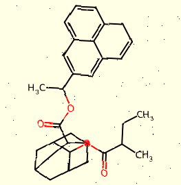 CCC(C)C(=O)OC1C2CC3CC1CC(C2)C3C(=O)OC(C)c1cc2c3c(cccc3c1)CC=C2